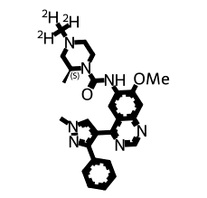 [2H]C([2H])([2H])N1CCN(C(=O)Nc2cc3c(-c4cn(C)nc4-c4ccccc4)ncnc3cc2OC)[C@@H](C)C1